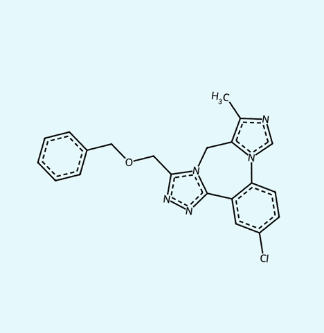 Cc1ncn2c1Cn1c(COCc3ccccc3)nnc1-c1cc(Cl)ccc1-2